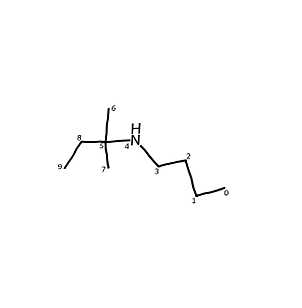 CCCCNC(C)(C)CC